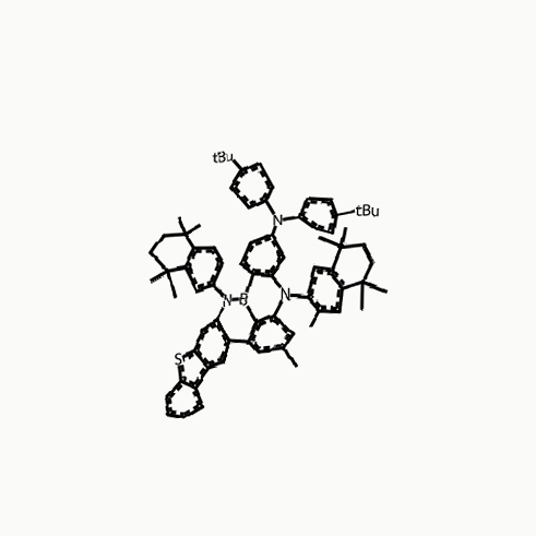 Cc1cc2c3c(c1)N(c1cc4c(cc1C)C(C)(C)CCC4(C)C)c1cc(N(c4ccc(C(C)(C)C)cc4)c4ccc(C(C)(C)C)cc4)ccc1B3N(c1ccc3c(c1)C(C)(C)CCC3(C)C)c1cc3sc4ccccc4c3cc1-2